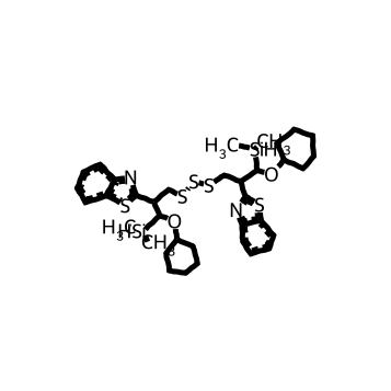 C[SiH](C)C(OC1CCCCC1)C(CSSSCC(c1nc2ccccc2s1)C(OC1CCCCC1)[SiH](C)C)c1nc2ccccc2s1